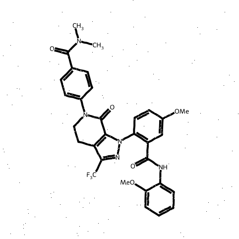 COc1ccc(-n2nc(C(F)(F)F)c3c2C(=O)N(c2ccc(C(=O)N(C)C)cc2)CC3)c(C(=O)Nc2ccccc2OC)c1